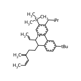 C=CC1C(CCC(=C)/C=C\C)c2ccc(C(C)(C)C)cc2-c2cc(CC(C)C)c([Si](C)(C)C)c[n+]21